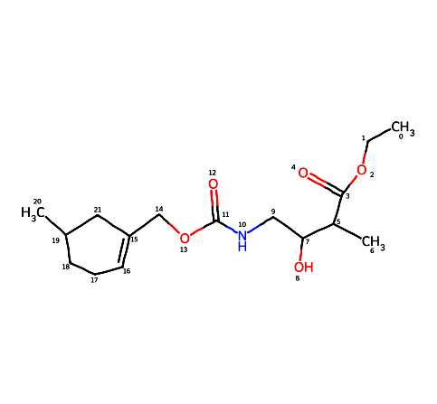 CCOC(=O)C(C)C(O)CNC(=O)OCC1=CCCC(C)C1